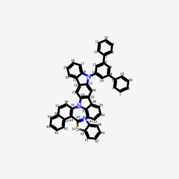 c1ccc(-c2cc(-c3ccccc3)cc(-n3c4ccccc4c4cc5c(cc43)c3ccccc3n5-c3ccc4ccccc4c3-c3nc4ccccc4s3)c2)cc1